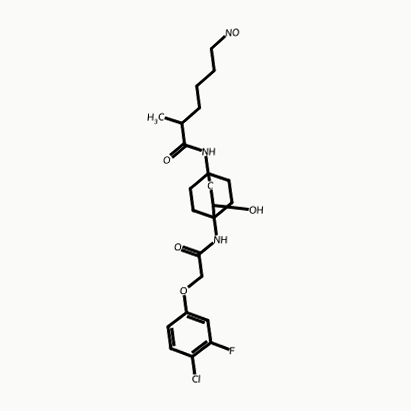 CC(CCCCN=O)C(=O)NC12CCC(NC(=O)COc3ccc(Cl)c(F)c3)(CC1)C(O)C2